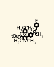 Cc1nc(C)c([C@H](OC(C)(C)C)C(=O)O)c(N2CCC(C)(C)CC2)c1-c1ccc(N(C)C(=O)Cc2ccc(F)cc2)cc1